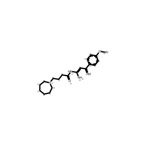 CC(C)Oc1ccc(C(=N)/C=C(\N)NC(=O)CCCN2CCCCCC2)cc1